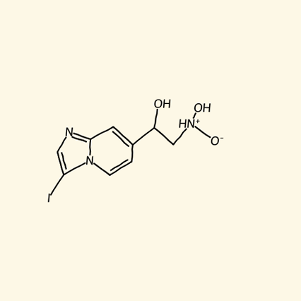 [O-][NH+](O)CC(O)c1ccn2c(I)cnc2c1